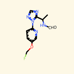 CC(NC=O)c1ncnn1-c1ccc(OCF)cn1